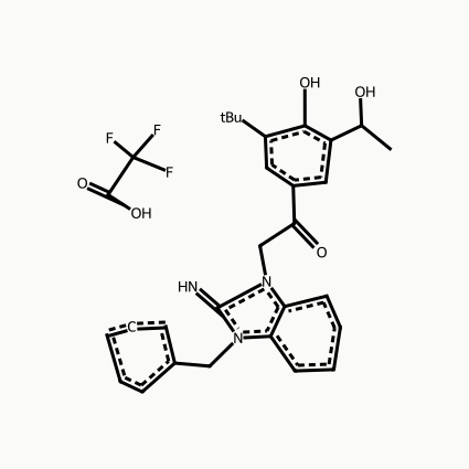 CC(O)c1cc(C(=O)Cn2c(=N)n(Cc3ccccc3)c3ccccc32)cc(C(C)(C)C)c1O.O=C(O)C(F)(F)F